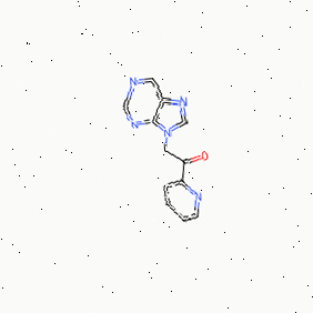 O=C(Cn1cnc2cncnc21)c1ccccn1